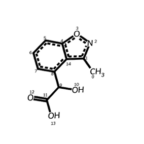 Cc1noc2cccc(C(O)C(=O)O)c12